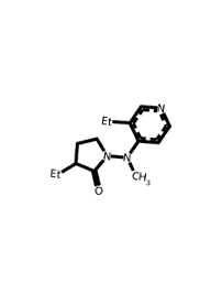 CCc1cnccc1N(C)N1CCC(CC)C1=O